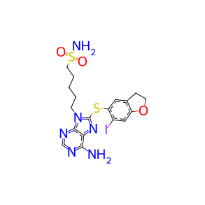 Nc1ncnc2c1nc(Sc1cc3c(cc1I)OCC3)n2CCCCCS(N)(=O)=O